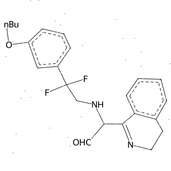 CCCCOc1cccc(C(F)(F)CNC(C=O)C2=NCCc3ccccc32)c1